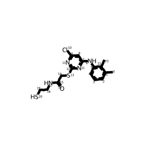 Cc1cccc(Nc2cc(Cl)nc(SCC(=O)NCCS)n2)c1C